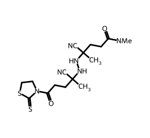 CNC(=O)CCC(C)(C#N)NNC(C)(C#N)CCC(=O)N1CCSC1=S